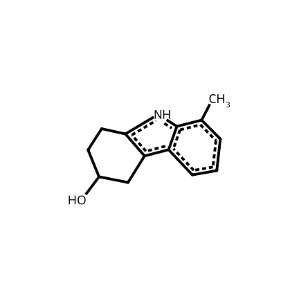 Cc1cccc2c3c([nH]c12)CCC(O)C3